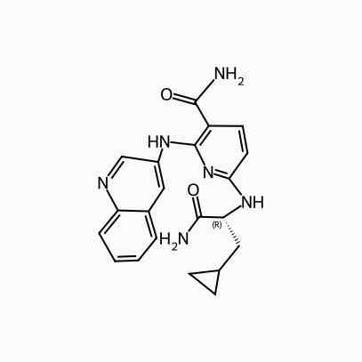 NC(=O)c1ccc(N[C@H](CC2CC2)C(N)=O)nc1Nc1cnc2ccccc2c1